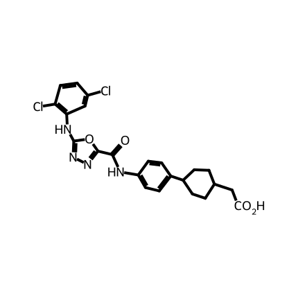 O=C(O)CC1CCC(c2ccc(NC(=O)c3nnc(Nc4cc(Cl)ccc4Cl)o3)cc2)CC1